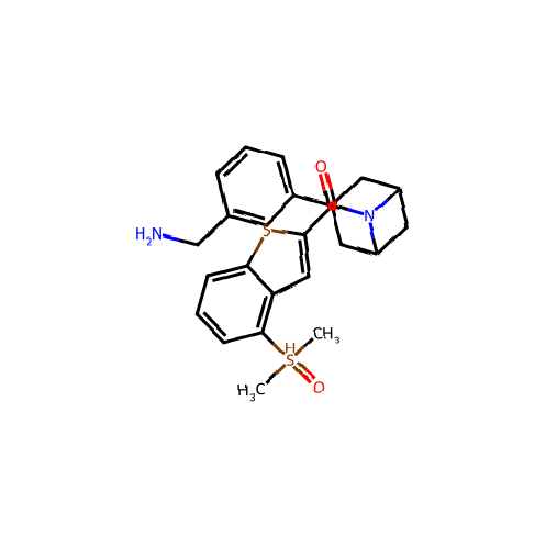 C[SH](C)(=O)c1cccc2sc(C(=O)N3C4CC(c5cccc(CN)c5)CC3C4)cc12